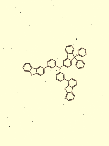 c1ccc(C2(c3ccccc3)c3ccccc3-c3cc(N(c4cccc(-c5ccc6oc7ccccc7c6c5)c4)c4cccc(-c5cccc6c5sc5ccccc56)c4)ccc32)cc1